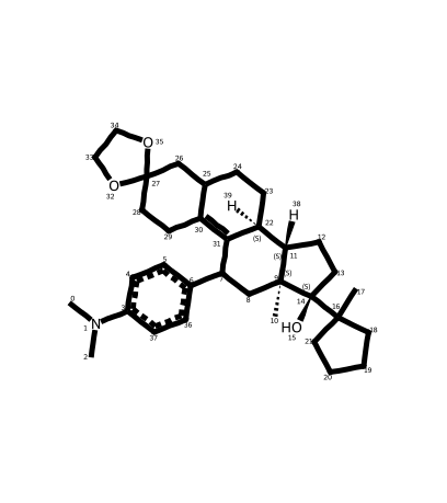 CN(C)c1ccc(C2C[C@@]3(C)[C@@H](CC[C@]3(O)C3(C)CCCC3)[C@@H]3CCC4CC5(CCC4=C23)OCCO5)cc1